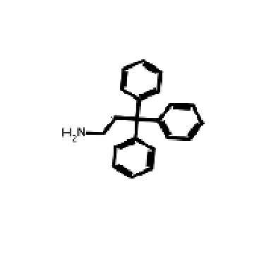 NC[CH]C(c1ccccc1)(c1ccccc1)c1ccccc1